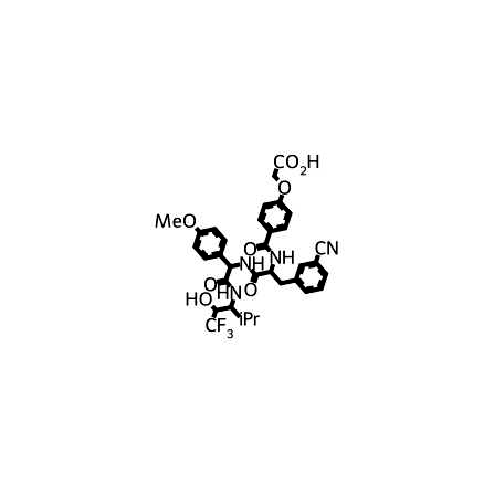 COc1ccc(C(NC(=O)C(Cc2cccc(C#N)c2)NC(=O)c2ccc(OCC(=O)O)cc2)C(=O)NC(C(C)C)C(O)C(F)(F)F)cc1